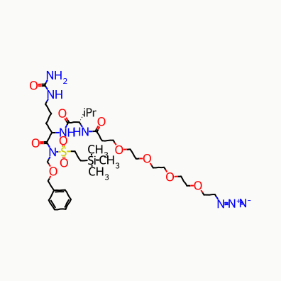 CC(C)[C@H](NC(=O)CCOCCOCCOCCOCCN=[N+]=[N-])C(=O)NC(CCCNC(N)=O)C(=O)N(COCc1ccccc1)S(=O)(=O)CC[Si](C)(C)C